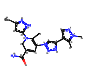 CC1=C(n2cc(-c3cnn(C)c3C)nn2)C=C(C(N)=O)CN1c1cc(C(C)(C)C)n[nH]1